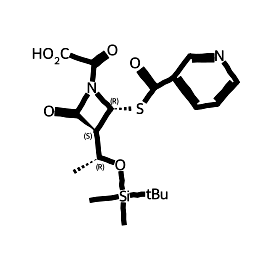 C[C@@H](O[Si](C)(C)C(C)(C)C)[C@H]1C(=O)N(C(=O)C(=O)O)[C@@H]1SC(=O)c1cccnc1